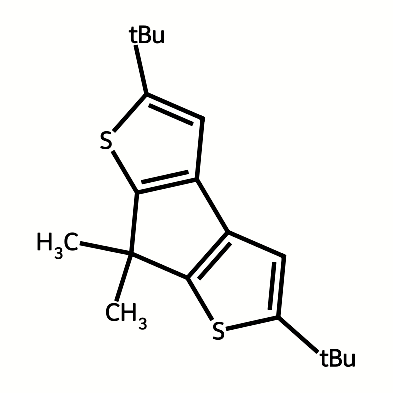 CC(C)(C)c1cc2c(s1)C(C)(C)c1sc(C(C)(C)C)cc1-2